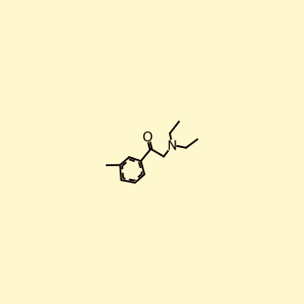 CCN(CC)CC(=O)c1cccc(C)c1